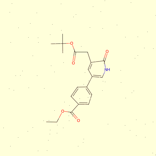 CCOC(=O)c1ccc(-c2c[nH]c(=O)c(CC(=O)OC(C)(C)C)c2)cc1